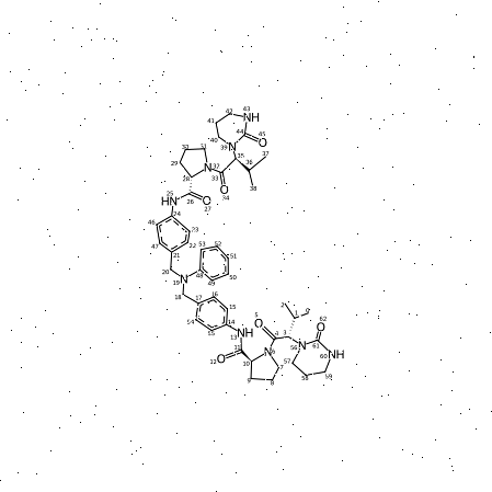 CC(C)[C@@H](C(=O)N1CCC[C@H]1C(=O)Nc1ccc(CN(Cc2ccc(NC(=O)[C@@H]3CCCN3C(=O)[C@H](C(C)C)N3CCCNC3=O)cc2)c2ccccc2)cc1)N1CCCNC1=O